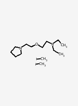 CCN(CC)CCOCCN1CCCC1.CI.CI